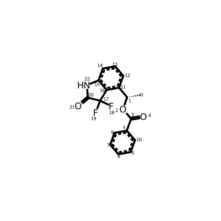 C[C@H](OC(=O)c1ccccc1)c1cccc2c1C(F)(F)C(=O)N2